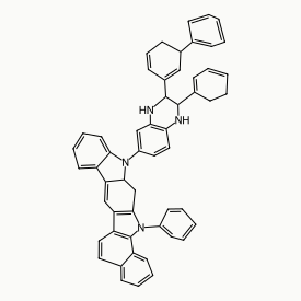 C1=CCCC(C2Nc3ccc(N4c5ccccc5C5=Cc6c(n(-c7ccccc7)c7c6ccc6ccccc67)CC54)cc3NC2C2=CC(c3ccccc3)CC=C2)=C1